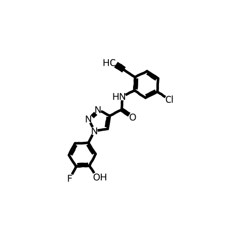 C#Cc1ccc(Cl)cc1NC(=O)c1cn(-c2ccc(F)c(O)c2)nn1